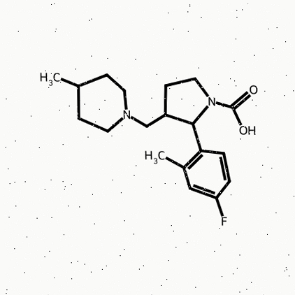 Cc1cc(F)ccc1C1C(CN2CCC(C)CC2)CCN1C(=O)O